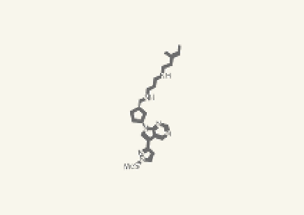 C/C=C(\C)CCNCCCNC[C@@H]1CC[C@H](n2cc(-c3ccn(SC)n3)c3cncnc32)C1